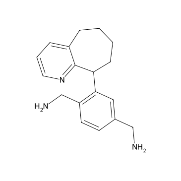 NCc1ccc(CN)c(C2CCCCc3cccnc32)c1